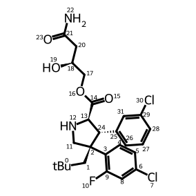 CC(C)(C)C[C@@]1(c2ccc(Cl)cc2F)CN[C@@H](C(=O)OC[C@@H](O)CC(N)=O)[C@@H]1c1cccc(Cl)c1